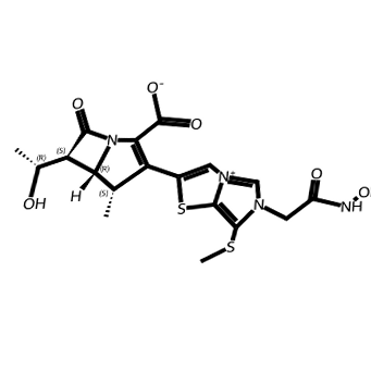 CSc1c2sc(C3=C(C(=O)[O-])N4C(=O)[C@H]([C@@H](C)O)[C@H]4[C@H]3C)c[n+]2cn1CC(=O)NO